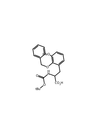 COc1cccc(CC(NC(=O)OC(C)(C)C)C(=O)O)c1OCc1ccccc1